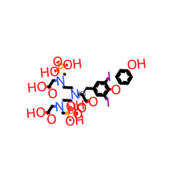 O=C(O)CN(CCN(CCN(CC(=O)O)CP(=O)(O)O)[C@@H](Cc1cc(I)c(Oc2ccc(O)cc2)c(I)c1)C(=O)O)CP(=O)(O)O